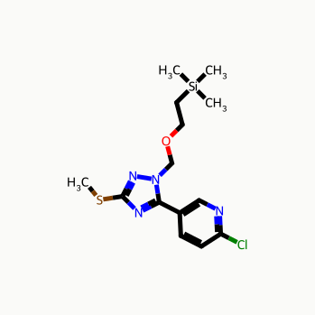 CSc1nc(-c2ccc(Cl)nc2)n(COCC[Si](C)(C)C)n1